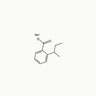 CCC(C)c1ccccc1C(=O)[O-].[Na+]